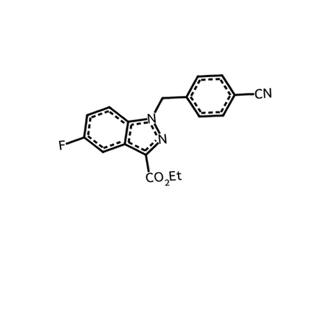 CCOC(=O)c1nn(Cc2ccc(C#N)cc2)c2ccc(F)cc12